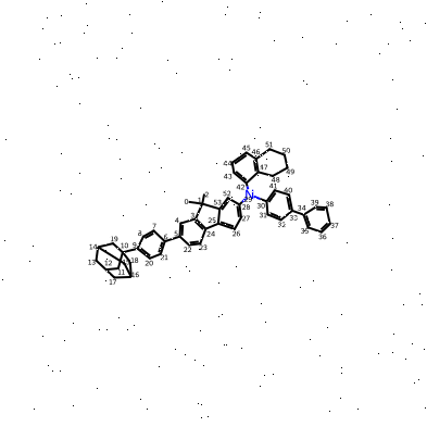 CC1(C)c2cc(-c3ccc(C45CC6CC(CC(C6)C4)C5)cc3)ccc2-c2ccc(N(c3ccc(-c4ccccc4)cc3)c3cccc4c3CCCC4)cc21